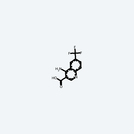 Nc1c(C(=O)O)cnc2ccc(C(F)(F)F)cc12